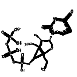 O=c1ccn([C@@H]2O[C@]3(CCl)C(OP(=O)(O)OP(=O)(O)OP(=O)(O)O)[C@]3(O)[C@H]2Cl)c(=O)[nH]1